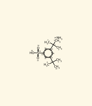 CC(C)(C)c1cc(C(C)(C)C)cc(S(=O)(=O)O)c1.N